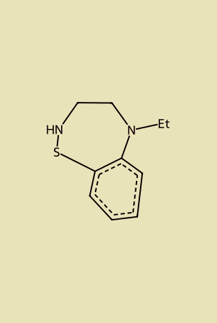 CCN1CCNSc2ccccc21